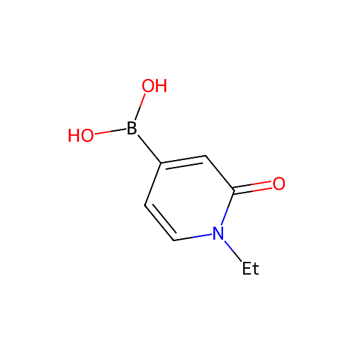 CCn1ccc(B(O)O)cc1=O